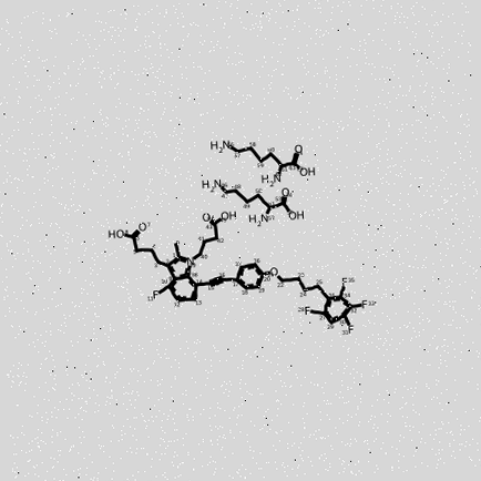 Cc1c(CCCC(=O)O)c2c(F)ccc(C#Cc3ccc(OCCCCc4c(F)cc(F)c(F)c4F)cc3)c2n1CCCC(=O)O.NCCCCC(N)C(=O)O.NCCCCC(N)C(=O)O